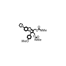 CNC(=O)OCc1c(COC(=O)NC)c(-c2ccc(OC)cc2)n2c1Cc1cc(N3CCCC3)ccc1-2